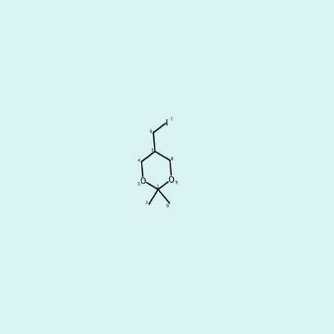 CC1(C)OCC(CI)CO1